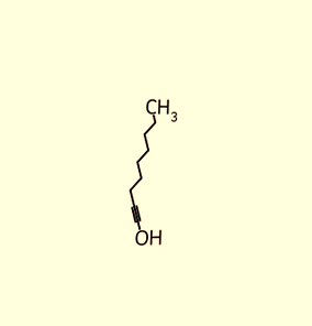 CCCCCCCC#CO